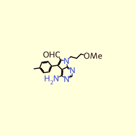 COCCCn1c(C=O)c(-c2ccc(C)cc2)c2c(N)ncnc21